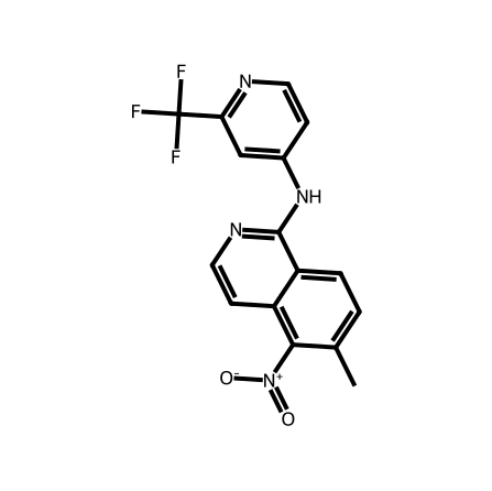 Cc1ccc2c(Nc3ccnc(C(F)(F)F)c3)nccc2c1[N+](=O)[O-]